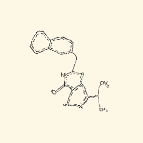 CC(C)c1n[nH]c2c(=O)[nH]c(Cc3ccc4ccccc4c3)nc12